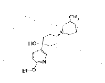 CCOc1ccc([C@]2(O)CC[C@H](N3CCCC(C)C3)CC2)cn1